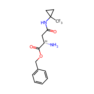 N[C@@H](CC(=O)NC1(C(F)(F)F)CC1)C(=O)OCc1ccccc1